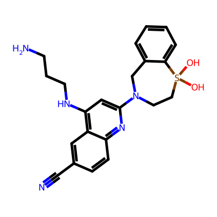 N#Cc1ccc2nc(N3CCS(O)(O)c4ccccc4C3)cc(NCCCN)c2c1